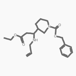 C=CCNC(CC(=O)OCC)C1CCCN(C(=O)OCc2ccccc2)C1